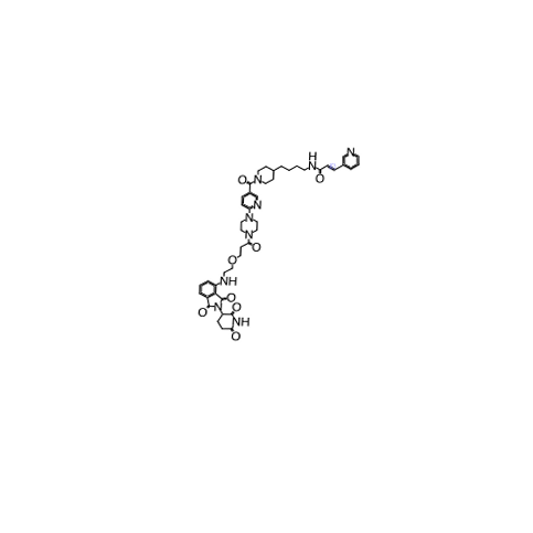 O=C(/C=C/c1cccnc1)NCCCCC1CCN(C(=O)c2ccc(N3CCN(C(=O)CCOCCNc4cccc5c4C(=O)N(C4CCC(=O)NC4=O)C5=O)CC3)nc2)CC1